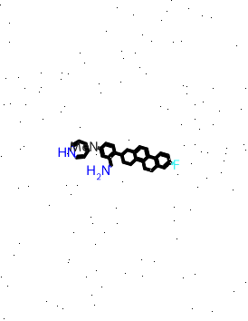 C1=CC=CNC=C1.CNc1ccc(C2CCc3c(ccc4c3CCc3cc(F)ccc3-4)C2)c(CN)c1